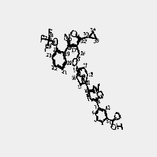 O=C(O)c1cccc(-c2nc(C34CCC(OCc5c(-c6ccccc6OC(F)(F)F)noc5C5CC5)(CC3)CC4)no2)c1